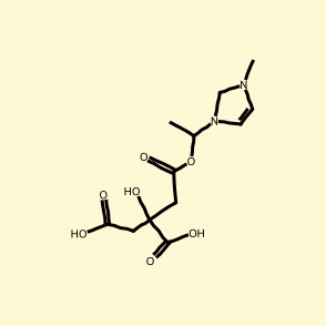 CC(OC(=O)CC(O)(CC(=O)O)C(=O)O)N1C=CN(C)C1